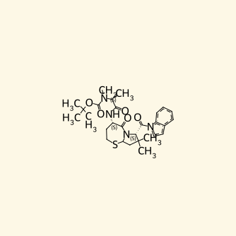 C[C@@H](C(=O)N[C@H]1CCSC2CC(C)(C)[C@@H](C(=O)n3ccc4ccccc43)N2C1=O)N(C)C(=O)OC(C)(C)C